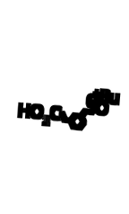 CC(C)(C)OC(=O)CCC1CCCC(CCC(=O)O)C1